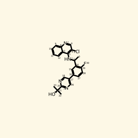 CC(Nc1c(Cl)cnc2ccccc12)c1cc(-c2cnc(C(C)(C)O)nc2)ccc1F